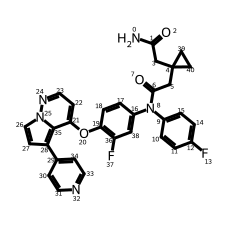 NC(=O)CC1(CC(=O)N(c2ccc(F)cc2)c2ccc(Oc3ccnn4ccc(-c5ccncc5)c34)c(F)c2)CC1